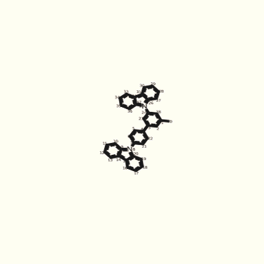 Cc1cc(-c2ccc(-n3c4ccccc4c4ccccc43)cc2)cc(-n2c3ccccc3c3ccccc32)c1